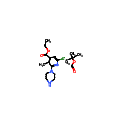 CC(C)(C)OC=O.CCOC(=O)c1cc(Cl)nc(N2CCNCC2)c1C